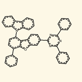 c1ccc(-c2nc(-c3ccccc3)nc(-c3ccc4c(c3)oc3c(-c5ccccc5)ccc(-n5c6ccccc6c6ccccc65)c34)n2)cc1